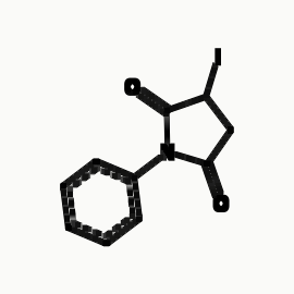 O=C1CC(I)C(=O)N1c1ccccc1